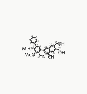 COc1c(-c2ccccc2)cc2c(c1OC)CC[n+]1c-2cc2cc(CO)c(CO)cc2c1C#N